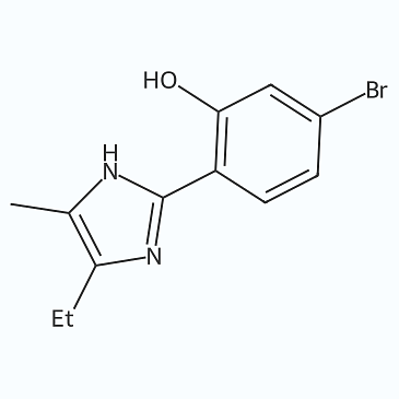 CCc1nc(-c2ccc(Br)cc2O)[nH]c1C